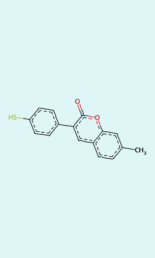 Cc1ccc2cc(-c3ccc(S)cc3)c(=O)oc2c1